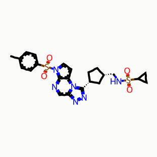 Cc1ccc(S(=O)(=O)n2ccc3c2ncc2nnc([C@@H]4CC[C@H](CNS(=O)(=O)C5CC5)C4)n23)cc1